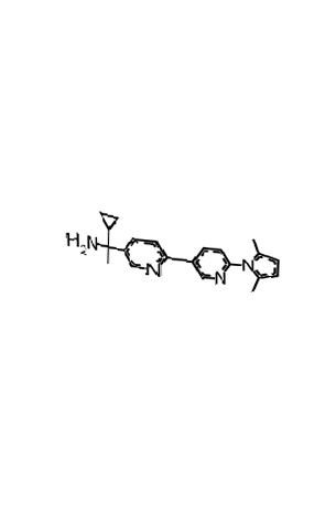 Cc1ccc(C)n1-c1ccc(-c2ccc(C(C)(N)C3CC3)cn2)cn1